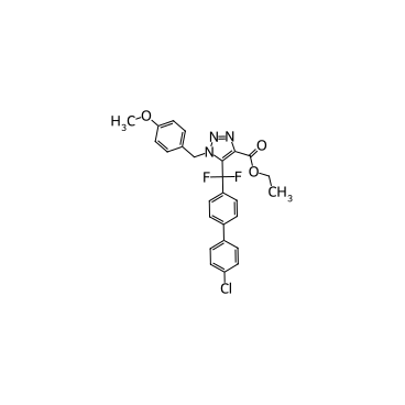 CCOC(=O)c1nnn(Cc2ccc(OC)cc2)c1C(F)(F)c1ccc(-c2ccc(Cl)cc2)cc1